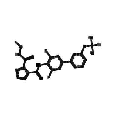 [2H]C([2H])([2H])Oc1cccc(-c2cc(F)c(NC(=O)c3ccsc3C(=O)NOC)c(F)c2)c1